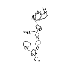 N#CCC1(n2cc(-c3ncnc4[nH]ccc34)cn2)CN(C2CCC(Oc3cc(CN4CCCCC4)nc(C(F)(F)F)n3)CC2)C1